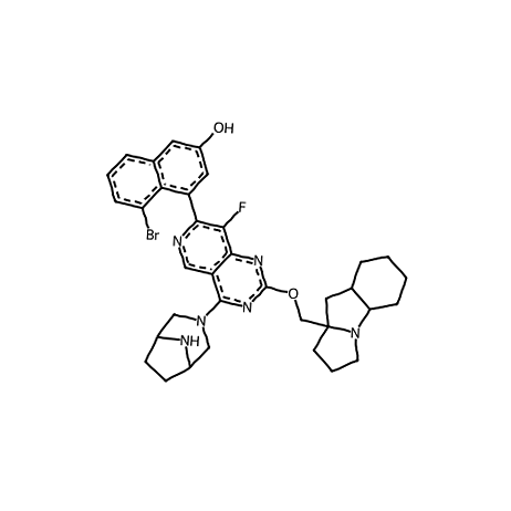 Oc1cc(-c2ncc3c(N4CC5CCC(C4)N5)nc(OCC45CCCN4C4CCCCC4C5)nc3c2F)c2c(Br)cccc2c1